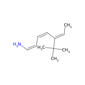 C\C=C(/C=C\C=C/N)C(C)(C)C